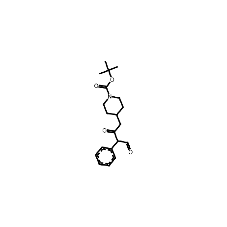 CC(C)(C)OC(=O)N1CCC(CC(=O)C(C=O)c2ccccc2)CC1